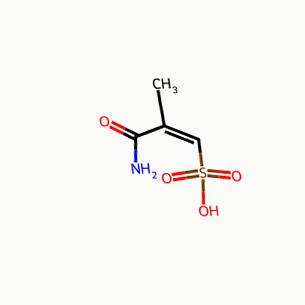 CC(=CS(=O)(=O)O)C(N)=O